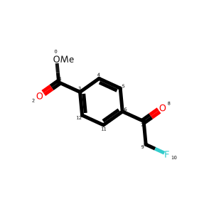 COC(=O)c1ccc(C(=O)CF)cc1